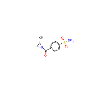 N#CC1CN1C(=O)c1ccc(S(N)(=O)=O)cc1